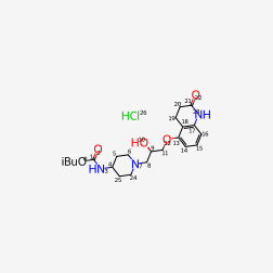 CC(C)COC(=O)NC1CCN(C[C@@H](O)COc2cccc3c2CCC(=O)N3)CC1.Cl